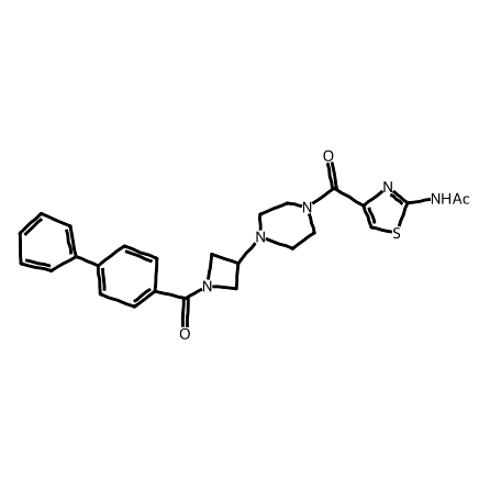 CC(=O)Nc1nc(C(=O)N2CCN(C3CN(C(=O)c4ccc(-c5ccccc5)cc4)C3)CC2)cs1